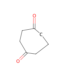 O=C1CCCC(=O)CC1